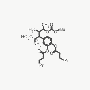 CCC(C)OC(=O)OC(C)C(C)C(c1ccc(OC(=O)CCC(C)C)c(OC(=O)CCC(C)C)c1)[C@H](N)C(=O)O